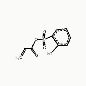 C=CC(=O)OS(=O)(=O)c1ccccc1O